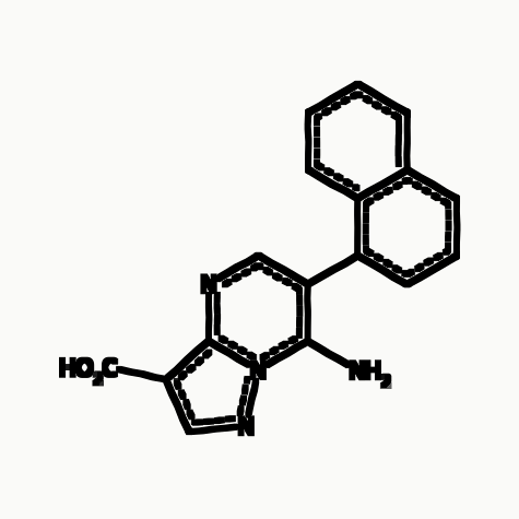 Nc1c(-c2cccc3ccccc23)cnc2c(C(=O)O)cnn12